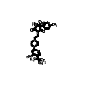 CCCc1cc(N2CCN(CCN3C(=O)NC(C)(c4ccc(C)nc4)C3=O)CC2)ncc1C(O)(C(F)(F)F)C(F)(F)F